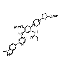 C=CC(=O)NC1=CC(Nc2cc(-c3ccc4c(cnn4C)c3)ncn2)=C(OC)CC1N1CCN(C2CCC(OC)C2)CC1